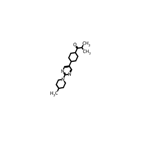 CC1CCN(c2ncc(C3CCC(C(=O)C(C)C)CC3)cn2)CC1